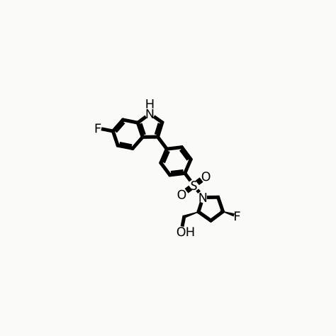 O=S(=O)(c1ccc(-c2c[nH]c3cc(F)ccc23)cc1)N1C[C@@H](F)C[C@H]1CO